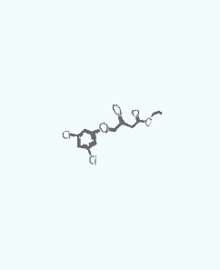 CCOC(=O)CC(=O)COc1cc(Cl)cc(Cl)c1